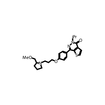 COCC1CCCN1CCCOc1ccc(-c2nn(C(C)C)c(=O)c3ccsc23)cc1